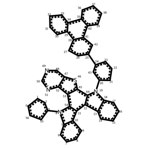 c1ccc(-n2c3ccccc3c3c4c5ccccc5n(-c5cccc(-c6ccc7c8ccccc8c8ccccc8c7c6)c5)c4c4sc5cncnc5c4c32)cc1